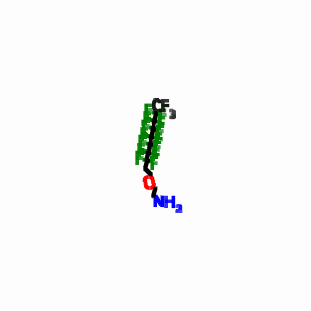 NCCOCCC(F)(F)C(F)(F)C(F)(F)C(F)(F)C(F)(F)C(F)(F)C(F)(F)C(F)(F)F